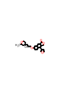 COC1(C=CCOc2ccc3c(-c4ccoc4)c4c(cc3c2)C(=O)OC4)CCOC(C)C1